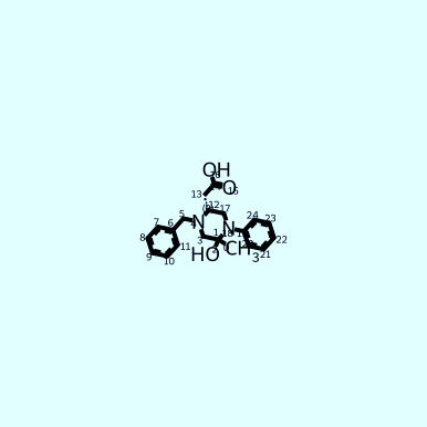 CC1(O)CN(Cc2ccccc2)[C@H](CC(=O)O)CN1c1ccccc1